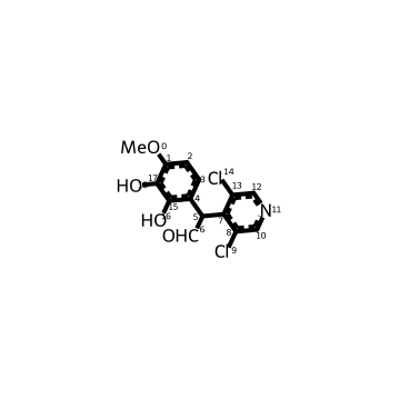 COc1ccc(C(C=O)c2c(Cl)cncc2Cl)c(O)c1O